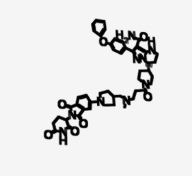 CN(CCC(=O)N1CCC([C@@H]2CCNc3c(C(N)=O)c(-c4ccc(Oc5ccccc5)cc4)nn32)CC1)CC1CCN(c2ccc3c(c2)C(=O)N(C2CCC(=O)NC2=O)C3=O)CC1